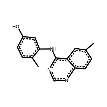 Cc1ccc2ncnc(Nc3cc(O)ccc3C)c2c1